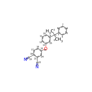 CC(C)(c1ccccc1)c1cccc(Oc2ccc(C#N)c(C#N)c2)c1